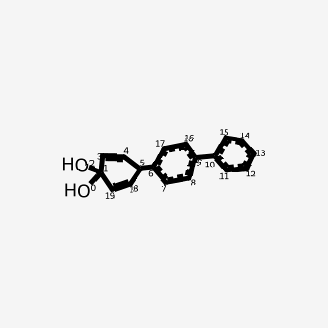 OC1(O)C=CC(c2ccc(-c3ccccc3)cc2)C=C1